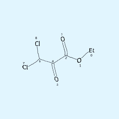 CCOC(=O)C(=O)C(Cl)Cl